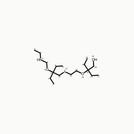 CCNCOC(CC)(CC)CSCCOC(CC)(CC)CO